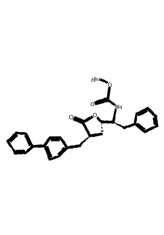 CC(C)(C)OC(=O)N[C@@H](Cc1ccccc1)[C@@H]1C[C@@H](Cc2ccc(-c3ccccc3)cc2)C(=O)O1